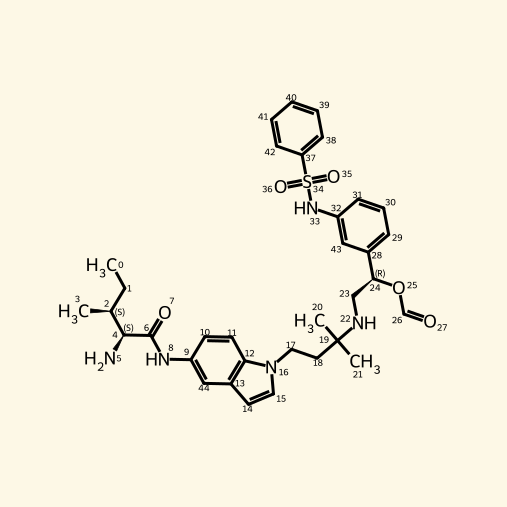 CC[C@H](C)[C@H](N)C(=O)Nc1ccc2c(ccn2CCC(C)(C)NC[C@H](OC=O)c2cccc(NS(=O)(=O)c3ccccc3)c2)c1